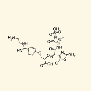 C[C@H]1[C@H](NC(=O)C(=NOC(COc2ccc(C(=N)NCCN)cc2)C(=O)O)c2nc(N)sc2Cl)C(=O)N1S(=O)(=O)O